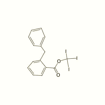 O=C(OC(I)(I)I)c1ccccc1Cc1ccccc1